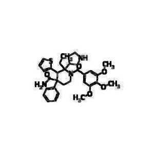 CCC1(C2CCNC2)C(c2cccs2)C(C(N)=O)(c2ccccc2)CCN1C(=O)c1cc(OC)c(OC)c(OC)c1